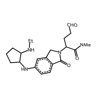 CCNC1CCCC1Nc1ccc2c(c1)CN(C(CCC=O)C(=O)NC)C2=O